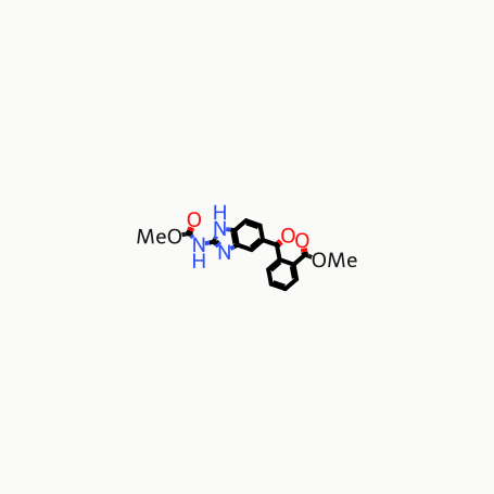 COC(=O)Nc1nc2cc(C(=O)c3ccccc3C(=O)OC)ccc2[nH]1